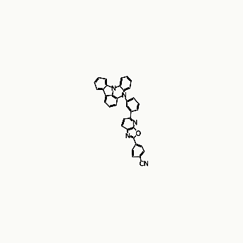 N#Cc1ccc(-c2nc3ccc(-c4cccc(N5c6ccccc6-n6c7ccccc7c7cccc5c76)c4)nc3o2)cc1